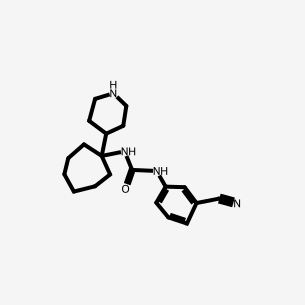 N#Cc1cccc(NC(=O)NC2(C3CCNCC3)CCCCCC2)c1